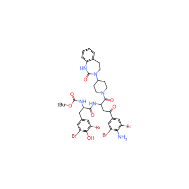 CC(C)(C)OC(=O)NC(Cc1cc(Br)c(O)c(Br)c1)C(=O)NC(CC(=O)c1cc(Br)c(N)c(Br)c1)C(=O)N1CCC(N2CCc3ccccc3NC2=O)CC1